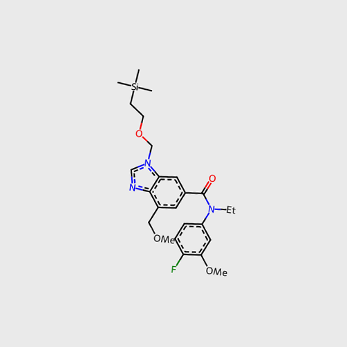 CCN(C(=O)c1cc(COC)c2ncn(COCC[Si](C)(C)C)c2c1)c1ccc(F)c(OC)c1